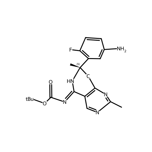 Cc1ncc2c(n1)C[C@@](C)(c1cc(N)ccc1F)NC2=NC(=O)OC(C)(C)C